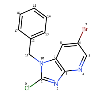 Clc1nc2ncc(Br)cc2n1Cc1ccccc1